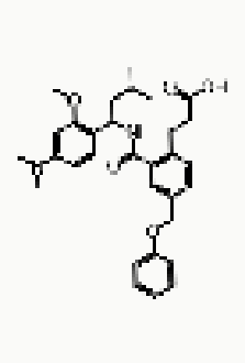 COc1cc(N(C)C)ccc1C(CC(C)C)NC(=O)c1cc(COc2ccccc2)ccc1CCC(=O)O